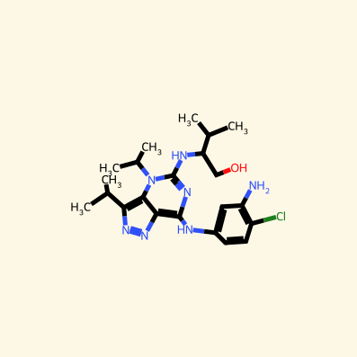 CC(C)c1nnc2c(Nc3ccc(Cl)c(N)c3)nc(NC(CO)C(C)C)n(C(C)C)c1-2